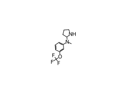 CN(c1cccc(OC(F)(F)F)c1)C1CCCN1